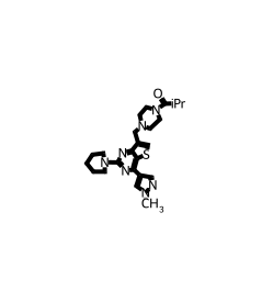 CC(C)C(=O)N1CCN(Cc2csc3c(-c4cnn(C)c4)nc(N4CCCCC4)nc23)CC1